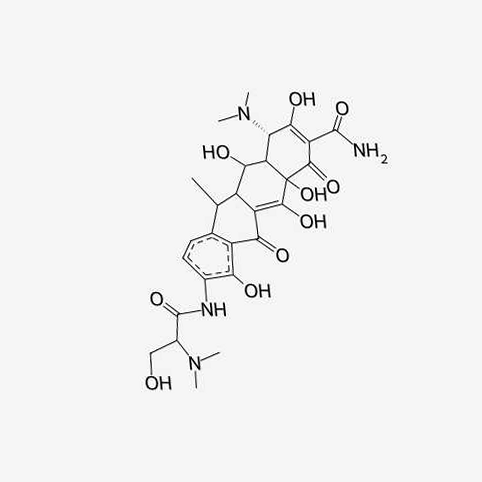 CC1c2ccc(NC(=O)C(CO)N(C)C)c(O)c2C(=O)C2=C(O)C3(O)C(=O)C(C(N)=O)=C(O)[C@@H](N(C)C)C3C(O)C21